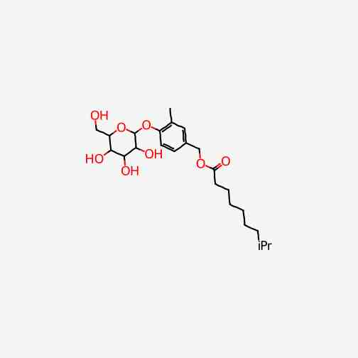 Cc1cc(COC(=O)CCCCCCC(C)C)ccc1OC1OC(CO)C(O)C(O)C1O